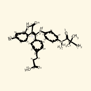 CN(C(=O)C(C)(C)N)c1ccc(N/C(=C2\C(=O)Nc3cc(Br)ccc32)c2ccc(CCC(=O)O)cc2)cc1